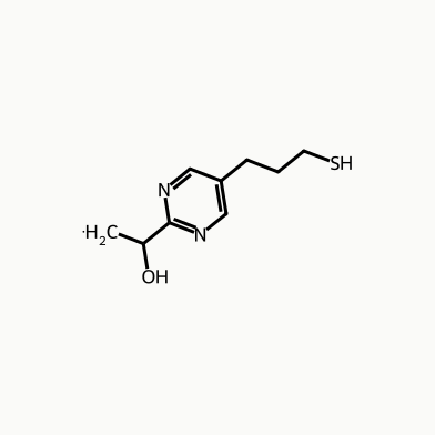 [CH2]C(O)c1ncc(CCCS)cn1